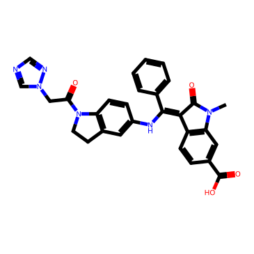 CN1C(=O)C(=C(Nc2ccc3c(c2)CCN3C(=O)Cn2cncn2)c2ccccc2)c2ccc(C(=O)O)cc21